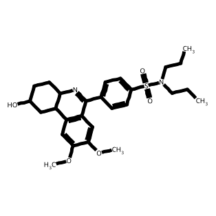 CCCN(CCC)S(=O)(=O)c1ccc(C2=NC3CCC(O)CC3c3cc(OC)c(OC)cc32)cc1